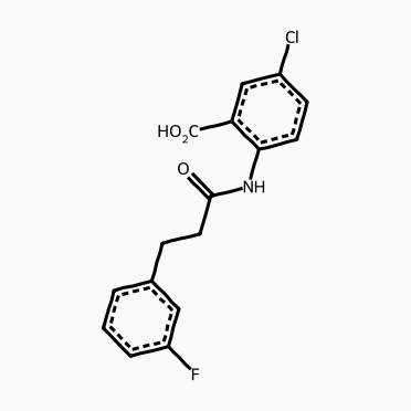 O=C(CCc1cccc(F)c1)Nc1ccc(Cl)cc1C(=O)O